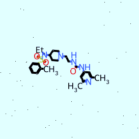 CCN(C1CCN(CCNC(=O)Nc2cc(C)nc(C)c2)CC1)S(=O)(=O)c1ccccc1C